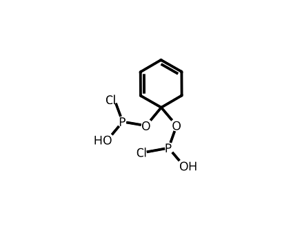 OP(Cl)OC1(OP(O)Cl)C=CC=CC1